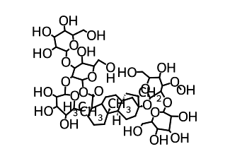 C=C1C[C@@]23CCC4[C@](C)(C(=O)OC5OC(CO)C(O)C(OC6OC(CO)C(O)C(O)C6O)C5OC5OC(C)C(O)C(O)C5O)CCC[C@@]4(C)[C@@H]2CC[C@]1(OC1OC(CO)C(O)C(OO)C1OC1OC(CO)C(O)C(O)C1O)C3